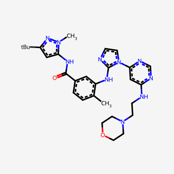 Cc1ccc(C(=O)Nc2cc(C(C)(C)C)nn2C)cc1Nc1nccn1-c1cc(NCCN2CCOCC2)ncn1